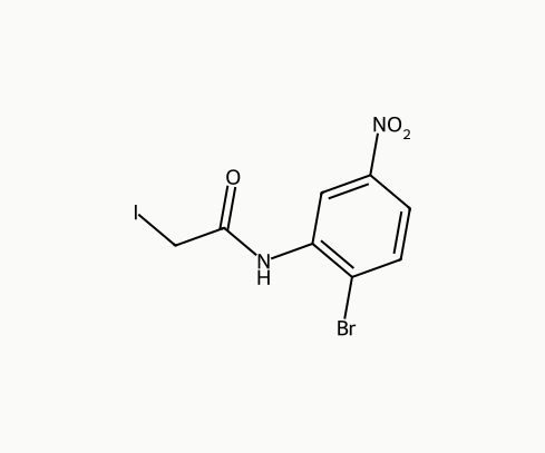 O=C(CI)Nc1cc([N+](=O)[O-])ccc1Br